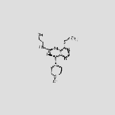 CCCCCCCCSc1ncnc2c(N3CC[S+]([O-])CC3)nc(NCCO)nc12